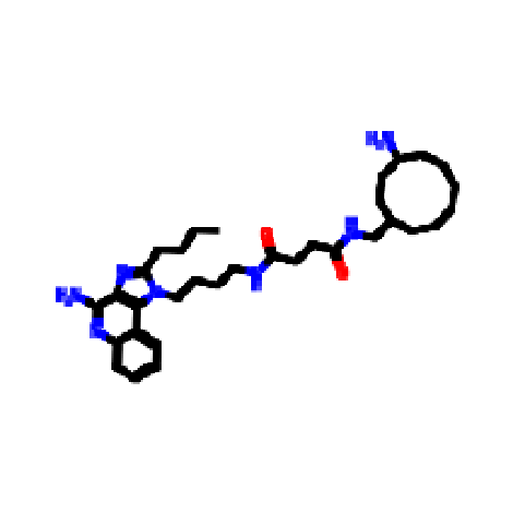 CCCCc1nc2c(N)nc3ccccc3c2n1CCCCNC(=O)CCC(=O)NCC1CCCCCCC(N)CC1